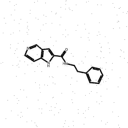 O=C(NCCc1ccccc1)c1cc2cnccc2[nH]1